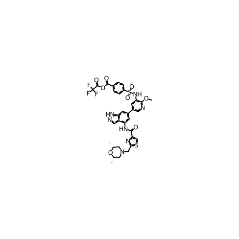 COc1ncc(-c2cc(NC(=O)c3csc(CN4C[C@@H](C)O[C@@H](C)C4)n3)c3cn[nH]c3c2)cc1NS(=O)(=O)c1ccc(C(=O)OC(=O)C(F)(F)F)cc1